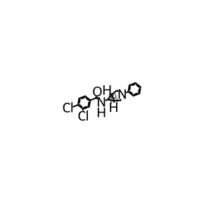 O=C(NC1[C@H]2CN(c3ccccc3)C[C@@H]12)c1ccc(Cl)c(Cl)c1